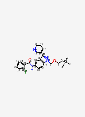 C[Si](C)(C)CCOCn1nc(-c2cccnc2)c2cc(NC(=O)c3ccccc3F)ccc21